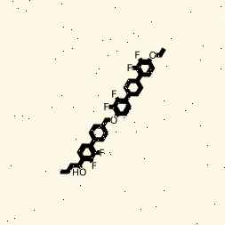 CCCC(O)c1ccc(C2CCC(COc3ccc(C4CCC(c5ccc(OCC)c(F)c5F)CC4)c(F)c3F)CC2)c(F)c1F